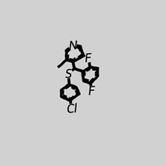 Cc1cnccc1C(Sc1ccc(Cl)cc1)c1cc(F)ccc1F